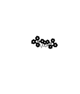 CC1(C)c2cc(N3c4ccccc4-c4ccccc4-c4ccccc43)ccc2-c2ccc(N3c4ccccc4-c4ccccc4-c4ccccc43)cc21